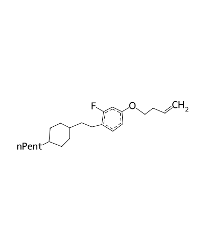 C=CCCOc1ccc(CCC2CCC(CCCCC)CC2)c(F)c1